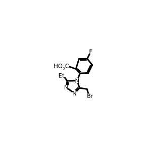 CCc1nnc(CBr)n1-c1ccc(F)cc1C(=O)O